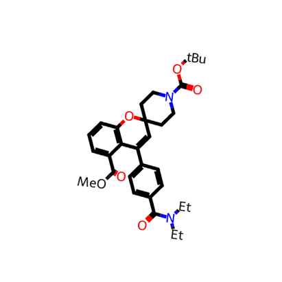 CCN(CC)C(=O)c1ccc(C2=CC3(CCN(C(=O)OC(C)(C)C)CC3)Oc3cccc(C(=O)OC)c32)cc1